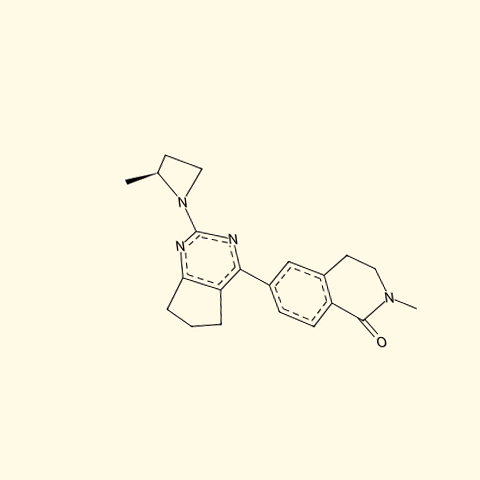 C[C@H]1CCN1c1nc2c(c(-c3ccc4c(c3)CCN(C)C4=O)n1)CCC2